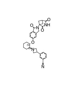 N#Cc1cccc(C2CN([C@H]3CCCC[C@@H]3Oc3ccc4c(c3)CN(C35CC(C3)C(=O)NC5=O)C4=O)C2)c1